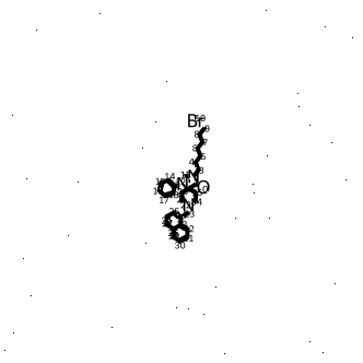 O=C1N(CCCCCCCBr)CN(c2ccccc2)C12CCN(Cc1cccc3ccccc13)CC2